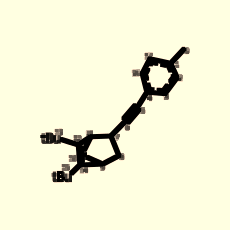 Cc1ccc(C#CC2CC3OC2C(C(C)(C)C)=C3C(C)(C)C)cc1